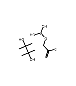 C=C(Cl)COB(O)O.CC(C)(O)C(C)(C)O